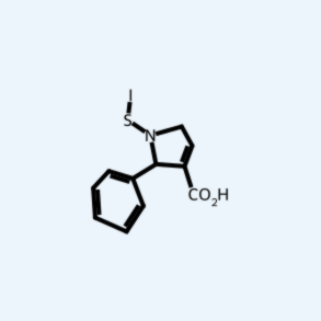 O=C(O)C1=CCN(SI)C1c1ccccc1